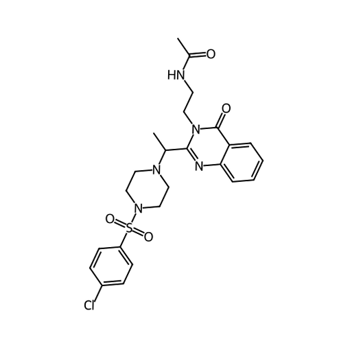 CC(=O)NCCn1c(C(C)N2CCN(S(=O)(=O)c3ccc(Cl)cc3)CC2)nc2ccccc2c1=O